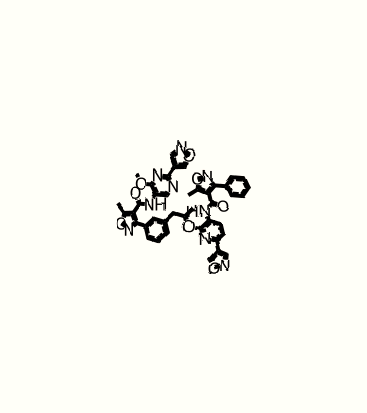 COc1nc(-c2cnoc2)ncc1NC(=O)c1c(-c2cccc(CC(C)Oc3nc(-c4cnoc4)ccc3NC(=O)c3c(-c4ccccc4)noc3C)c2)noc1C